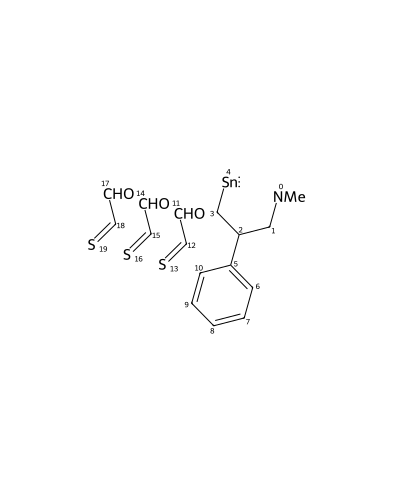 CNCC([CH2][Sn])c1ccccc1.O=CC=S.O=CC=S.O=CC=S